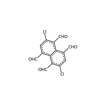 O=[C]c1cc(Cl)c([C]=O)c2c([C]=O)cc(Cl)c([C]=O)c12